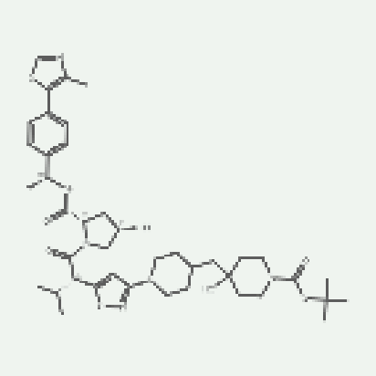 Cc1ncsc1-c1ccc([C@H](C)NC(=O)[C@@H]2C[C@@H](O)CN2C(=O)[C@H](c2cc(N3CCC(CC4(O)CCN(C(=O)OC(C)(C)C)CC4)CC3)no2)C(C)C)cc1